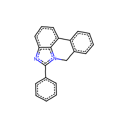 c1ccc(-c2nc3cccc4c3n2Cc2ccccc2-4)cc1